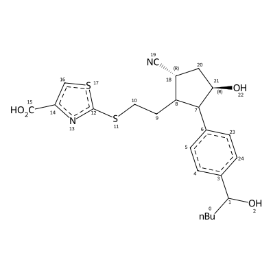 CCCCC(O)c1ccc(C2C(CCSc3nc(C(=O)O)cs3)[C@H](C#N)C[C@H]2O)cc1